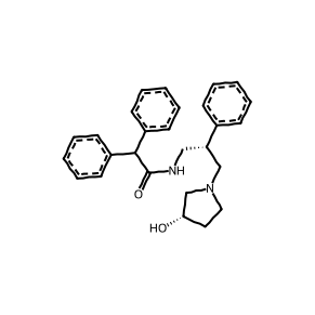 O=C(NC[C@@H](CN1CC[C@H](O)C1)c1ccccc1)C(c1ccccc1)c1ccccc1